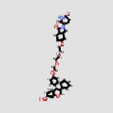 O=C1CCC(N2Cc3cc(OCCOCCOCCOc4ccc([C@@H]5c6ccc(O)cc6OCC5c5ccccc5)cc4)ccc3C2=O)C(=O)N1